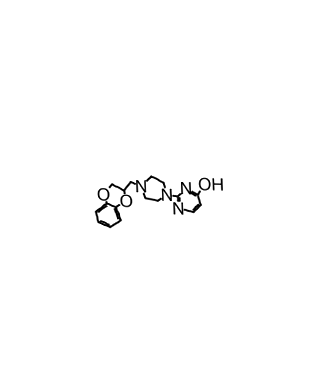 Oc1ccnc(N2CCN(CC3COc4ccccc4O3)CC2)n1